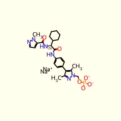 Cc1nn(COP(=O)([O-])[O-])c(C)c1-c1ccc(NC(=O)[C@@H](NC(=O)c2ccnn2C)C2CCCCC2)cc1.[Na+].[Na+]